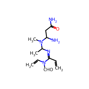 C=C/C(=N/C(C)N(C)C(N)CC(N)=O)N(C=C)C=O